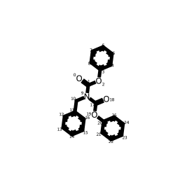 O=C(Oc1ccccc1)N(Cc1ccccc1)C(=O)Oc1ccccc1